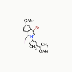 C=C/C(=C\C=C(/C)OC)N1C=C(Br)c2cc(OC)ccc2C1CI